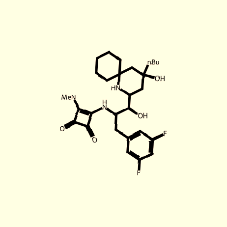 CCCCC1(O)CC(C(O)C(Cc2cc(F)cc(F)c2)Nc2c(NC)c(=O)c2=O)NC2(CCCCC2)C1